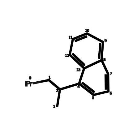 CC(C)CC(C)c1cccc2ccccc12